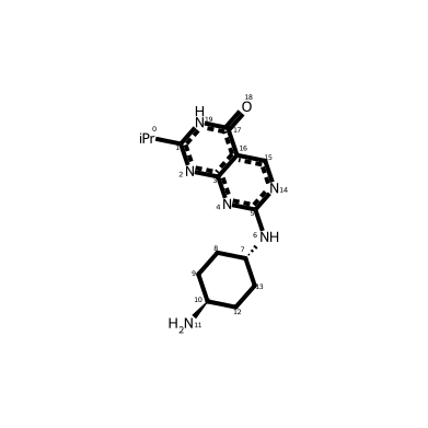 CC(C)c1nc2nc(N[C@H]3CC[C@H](N)CC3)ncc2c(=O)[nH]1